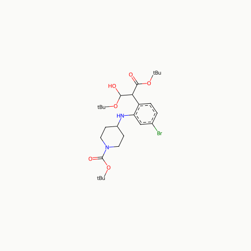 CC(C)(C)OC(=O)C(c1ccc(Br)cc1NC1CCN(C(=O)OC(C)(C)C)CC1)C(O)OC(C)(C)C